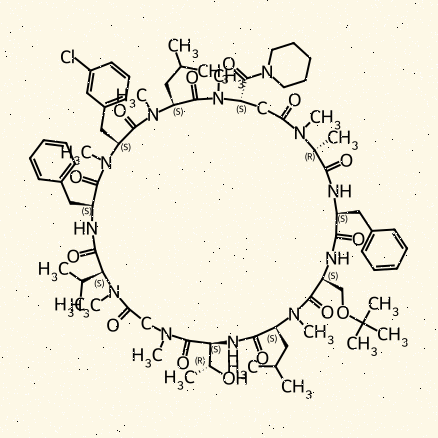 CC(C)C[C@H]1C(=O)N[C@@H]([C@@H](C)O)C(=O)N(C)CC(=O)N(C)[C@@H](C(C)C)C(=O)N[C@@H](Cc2ccccc2)C(=O)N(C)[C@@H](Cc2cccc(Cl)c2)C(=O)N(C)[C@@H](CC(C)C)C(=O)N(C)[C@H](C(=O)N2CCCCC2)CC(=O)N(C)[C@H](C)C(=O)N[C@@H](Cc2ccccc2)C(=O)N[C@@H](COC(C)(C)C)C(=O)N1C